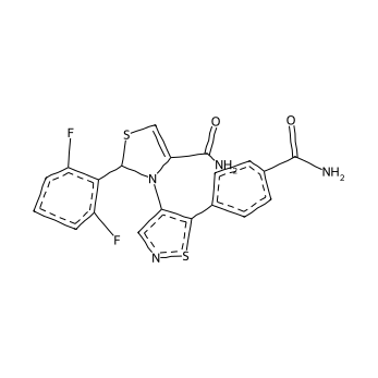 NC(=O)C1=CSC(c2c(F)cccc2F)N1c1cnsc1-c1ccc(C(N)=O)cc1